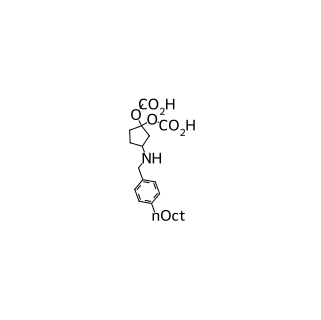 CCCCCCCCc1ccc(CNC2CCC(OC(=O)O)(OC(=O)O)C2)cc1